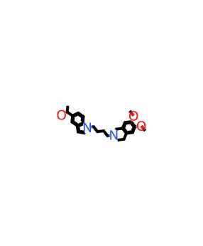 COc1cc2c(cc1OC)CN(CCCCn1ccc3cc(C(C)=O)ccc31)CC2